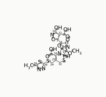 CO[C@@]1(NC(=O)Cc2onc(O)c2C(=O)O)C(=O)N2C(C(=O)O)=C(CSc3nnc(C)s3)CS[C@H]21